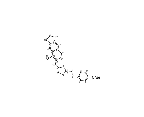 COc1ccc(CCN2CCC(CN3CCc4cc5c(cc4C3=O)OCO5)C2)cc1